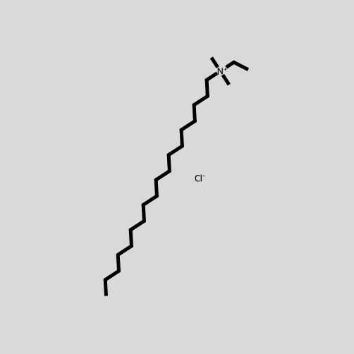 CCCCCCCCCCCCCCCCCC[N+](C)(C)CC.[Cl-]